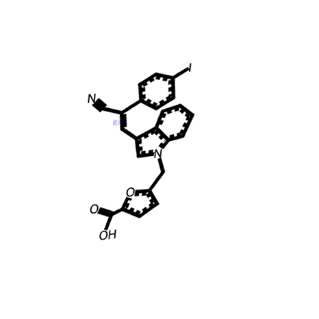 N#C/C(=C/c1cn(Cc2ccc(C(=O)O)o2)c2ccccc12)c1ccc(I)cc1